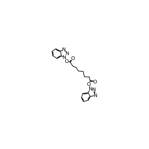 O=C(CCCCCCC(=O)On1nnc2ccccc21)On1nnc2ccccc21